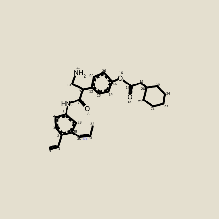 C=Cc1ccc(NC(=O)C(CN)c2ccc(OC(=O)CC3CCCCC3)cc2)cc1/C=C\C